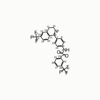 O=S(=O)(Nc1ccc(C2=NCCc3cc(C(F)(F)F)ccc32)cc1)c1cccc(C(F)(F)F)c1